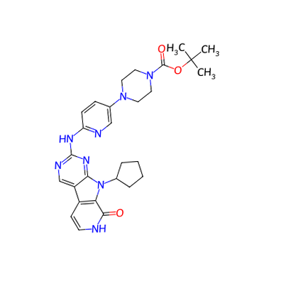 CC(C)(C)OC(=O)N1CCN(c2ccc(Nc3ncc4c5cc[nH]c(=O)c5n(C5CCCC5)c4n3)nc2)CC1